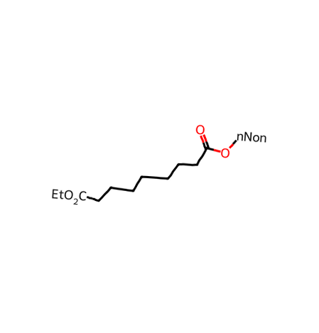 CCCCCCCCCOC(=O)CCCCCCCC(=O)OCC